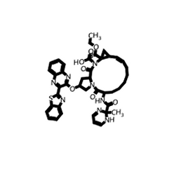 CCOC(=O)C12CC1C=CCCCCCC(NC(=O)C1(C)N=CC=CN1)C(=O)N1CC(Oc3nc4ccccc4nc3-c3nc4ccccc4s3)CC1C(=O)N2C(=O)O